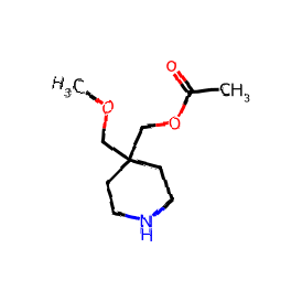 COCC1(COC(C)=O)CCNCC1